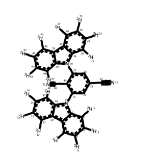 [2H]c1c([2H])c([2H])c2c(c1[2H])c1c([2H])c([2H])c([2H])c([2H])c1n2-c1cc(C#N)cc(-n2c3c([2H])c([2H])c([2H])c([2H])c3c3c([2H])c([2H])c([2H])c([2H])c32)c1C#N